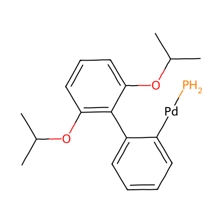 CC(C)Oc1cccc(OC(C)C)c1-c1cccc[c]1[Pd][PH2]